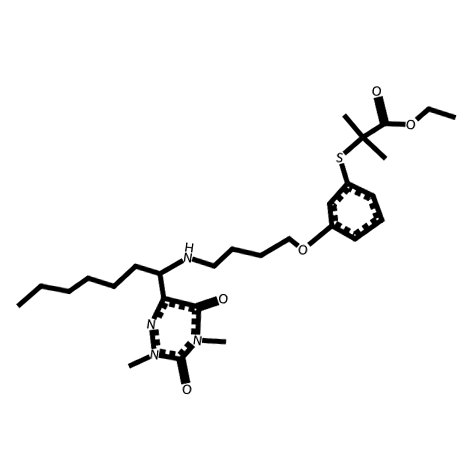 CCCCCCC(NCCCCOc1cccc(SC(C)(C)C(=O)OCC)c1)c1nn(C)c(=O)n(C)c1=O